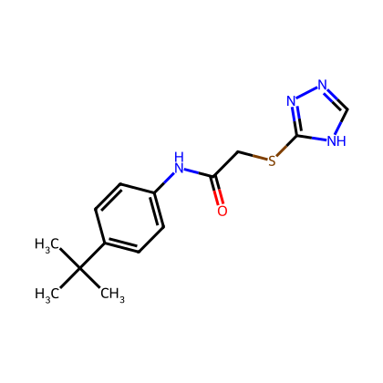 CC(C)(C)c1ccc(NC(=O)CSc2nnc[nH]2)cc1